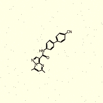 Cc1cc(C)n2ncc(C(=O)Nc3ccc(-c4ccc(C#N)cc4)cc3)c2n1